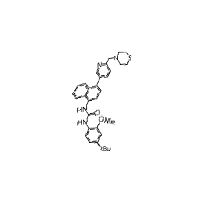 COc1cc(C(C)(C)C)ccc1NC(=O)Nc1ccc(-c2ccc(CN3CCSCC3)nc2)c2ccccc12